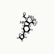 NC(=O)c1c(N(N)C=O)[nH]c2cc(-c3ccco3)ccc12